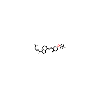 C=C1CC[C@H](O[Si](C)(C)C(C)(C)C)C/C1=C/C=C1\CCC[C@@]2(C)C1CCC2[C@H](C)/C=C/[C@H](C)C(C)C